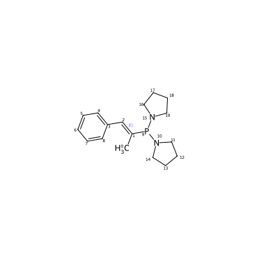 C/C(=C\c1ccccc1)P(N1CCCC1)N1CCCC1